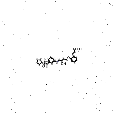 O=C(O)CCc1ccccc1OCC[C@@H](O)/C=C/c1cccc(NS(=O)(=O)C2CCCC2)c1